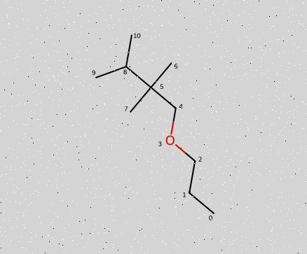 CCCOCC(C)(C)[C](C)C